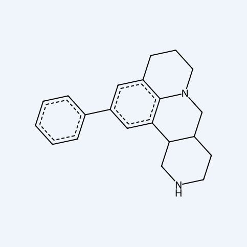 c1ccc(-c2cc3c4c(c2)C2CNCCC2CN4CCC3)cc1